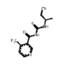 CC(CC#N)NC(=S)NC(=O)c1cnccc1C(F)(F)F